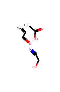 C=CC=O.CC(=O)O.N#CCO